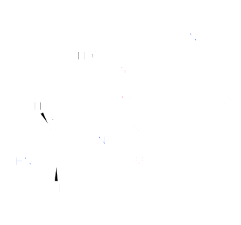 COc1cncc2cccc(S(=O)(=O)N3C[C@H]4CN[C@H]4C3)c12